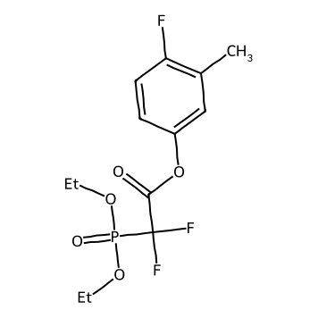 CCOP(=O)(OCC)C(F)(F)C(=O)Oc1ccc(F)c(C)c1